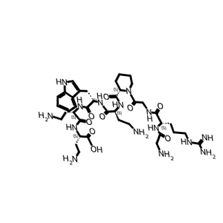 N=C(N)NCCC[C@H](NC(=O)CN)C(=O)NCC(=O)N1CCCC[C@H]1C(=O)N[C@@H](CCN)C(=O)N[C@@H](Cc1c[nH]c2ccccc12)C(=O)N[C@@H](CCN)C(=O)N[C@@H](CCN)C(=O)O